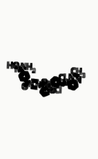 Cc1cnc2cccc(OCc3c(Cl)ccc(S(=O)(=O)N4CCC[C@H]4C(=O)N4CCN(C(=O)c5ccc(C(N)=NO)cc5)CC4)c3Cl)c2n1